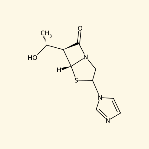 C[C@@H](O)[C@H]1C(=O)N2CC(n3ccnc3)S[C@H]12